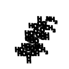 CC(=O)NC1C(O[C@@H]2OC(CO)[C@H](O)C(O)C2O)[C@@H](O)C(CO)O[C@H]1O[C@H]1C(CO)O[C@@H](O[C@@H]2C(CO)O[C@@H](N(C)OCCN)C(O)C2O)C(O)C1O